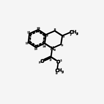 COC(=O)N1CC(C)Cc2ccccc21